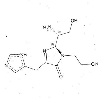 N[C@H](CO)[C@@H]1N=C(Cc2cnc[nH]2)C(=O)N1CCO